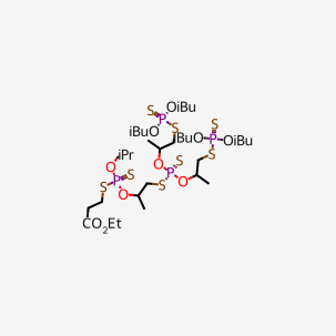 CCOC(=O)CCSP(=S)(OC(C)C)OC(C)CSP(=S)(OC(C)CSP(=S)(OCC(C)C)OCC(C)C)OC(C)CSP(=S)(OCC(C)C)OCC(C)C